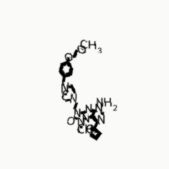 COCCOc1ccc(CN2CCN(CCN3C(=O)N(C)N4C5=C(c6ccco6)N=CN(N)C5=NC34)CC2)cc1